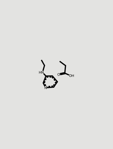 CCC(=O)O.CCNc1cccnc1